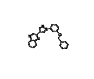 c1ccc(COc2cccc(-n3cc(-c4cnc5ccccc5n4)cn3)c2)cc1